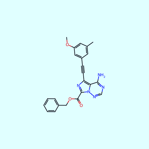 COc1cc(C)cc(C#Cc2nc(C(=O)OCc3ccccc3)n3ncnc(N)c23)c1